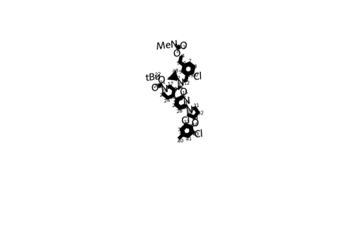 CNC(=O)OCCc1ccc(Cl)c(CN(C(=O)[C@@H]2CN(C(=O)OC(C)(C)C)CC[C@H]2c2ccc(N3CC[C@@H](Oc4c(Cl)cc(C)cc4Cl)C3)nc2)C2CC2)c1